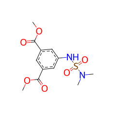 COC(=O)c1cc(NS(=O)(=O)N(C)C)cc(C(=O)OC)c1